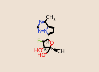 C#C[C@]1(CO)O[C@@H](c2ccc3c(C)ncnn23)[C@H](F)[C@@H]1O